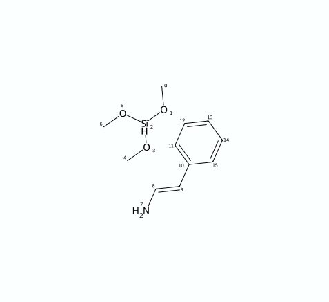 CO[SiH](OC)OC.NC=Cc1ccccc1